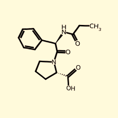 CCC(=O)N[C@@H](C(=O)N1CCC[C@H]1C(=O)O)c1ccccc1